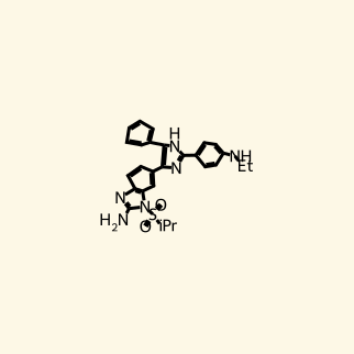 CCNc1ccc(-c2nc(-c3ccc4nc(N)n(S(=O)(=O)C(C)C)c4c3)c(-c3ccccc3)[nH]2)cc1